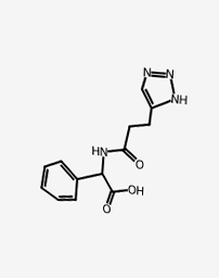 O=C(CCc1cnn[nH]1)NC(C(=O)O)c1ccccc1